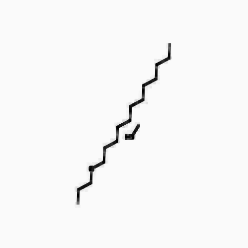 CCCCCCCCCCCCOCCC.CO